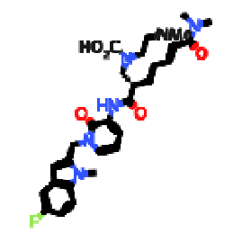 CNCCN(C[C@H](CC/C=C/C(=O)N(C)C)C(=O)Nc1cccn(Cc2cc3cc(F)ccc3n2C)c1=O)C(=O)O